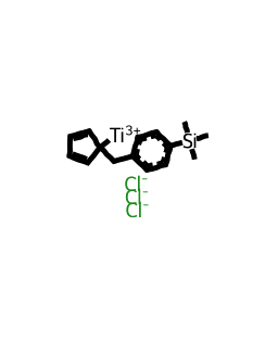 C[Si](C)(C)c1ccc(C[C]2([Ti+3])C=CC=C2)cc1.[Cl-].[Cl-].[Cl-]